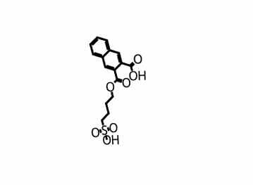 O=C(O)c1cc2ccccc2cc1C(=O)OCCCCS(=O)(=O)O